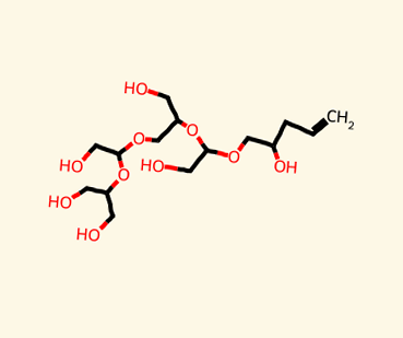 C=CCC(O)COC(CO)OC(CO)COC(CO)OC(CO)CO